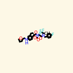 CC(N(Cc1ccc(F)cc1)C(=O)CN1C(=O)O[C@@]2(CCc3cc(NCC4CCCO4)ccc32)C1=O)C(F)(F)F